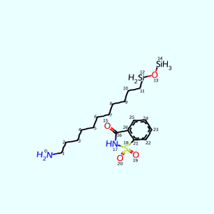 NCCCCCCCCCCC[SiH2]O[SiH3].O=C1NS(=O)(=O)c2ccccc21